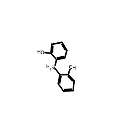 Oc1ccccc1[SiH2]c1ccccc1O